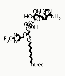 CCCCCCCCCCCCCCCCCCOC[C@H](COP(=O)(O)OC[C@H]1O[C@@](C)(c2ccc3c(N)ncnn23)[C@H](O)[C@@H]1O)OCc1cnc(C(F)(F)F)nc1